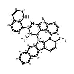 CC1C=Cc2c(n(C3c4c(oc5ccccc45)N=C(c4cccc5c4NCC=C5)N3C)c3cc4ccccc4cc23)C1